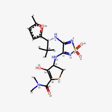 Cc1ccc([C@H](NC2=NS(=O)(=O)N=C2NC2CSC(C(=O)N(C)C)=C2O)C(C)(C)C)o1